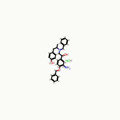 CC(Cc1ccc(O)cc1)N(Cc1ccccc1)CC(O)c1ccc(OCc2ccccc2)c(N)c1.Cl